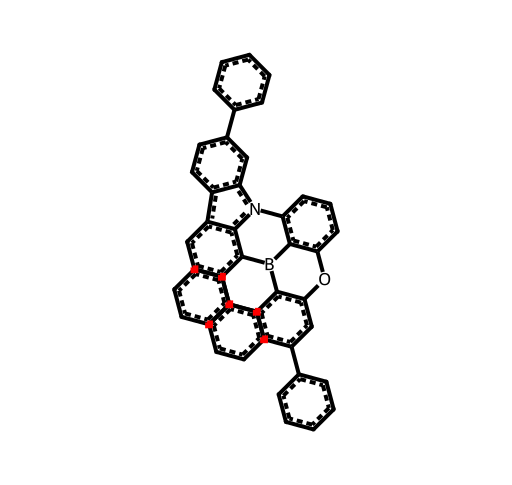 c1ccc(-c2cc3c(c(-c4ccccc4)c2)B2c4c(cccc4-n4c5cc(-c6ccccc6)ccc5c5ccc(-c6ccccc6)c2c54)O3)cc1